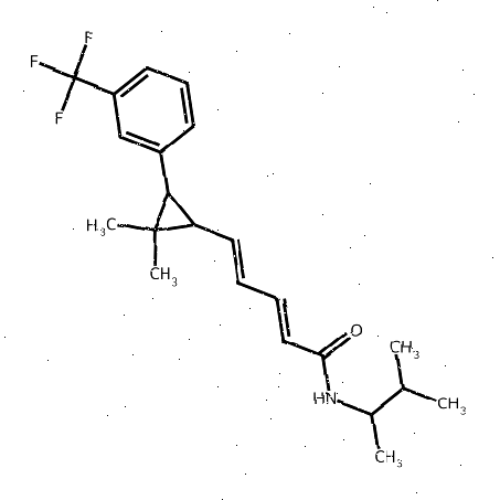 CC(C)C(C)NC(=O)C=CC=CC1C(c2cccc(C(F)(F)F)c2)C1(C)C